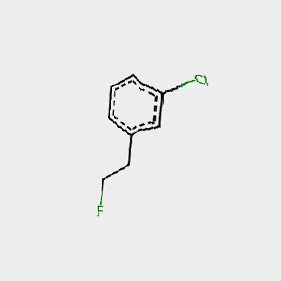 FCCc1cccc(Cl)c1